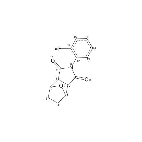 O=C1C2C3CCC(O3)C2C(=O)N1c1ccccc1F